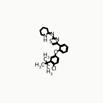 CC(C)(C)c1cc(Oc2ccccc2-c2csc(/N=C3/CCCCN3)n2)ccc1Cl